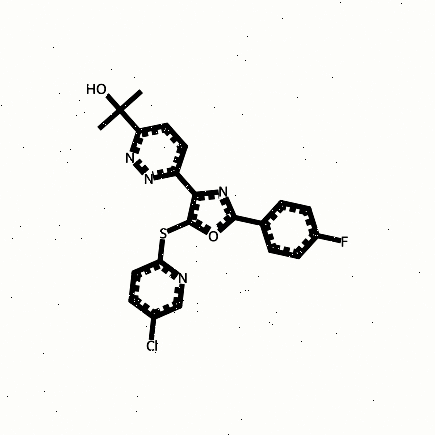 CC(C)(O)c1ccc(-c2nc(-c3ccc(F)cc3)oc2Sc2ccc(Cl)cn2)nn1